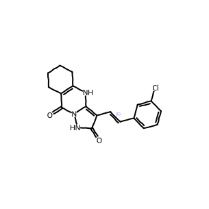 O=c1[nH]n2c(=O)c3c([nH]c2c1/C=C/c1cccc(Cl)c1)CCCC3